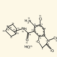 CN1C(=O)COc2c1cc(Cl)c(N)c2C(=O)NC1CN2CCC1CC2.Cl